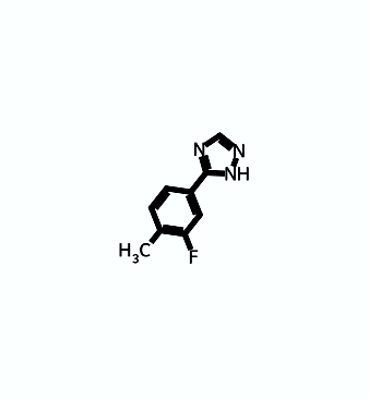 Cc1ccc(-c2ncn[nH]2)cc1F